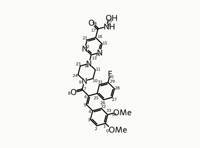 COc1ccc(C=C(C(=O)N2CCN(c3ncc(C(=O)NO)cn3)CC2)c2cccc(F)c2)cc1OC